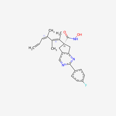 C=C/C=C(C)\C(C)=C(/C)[C@]1(C(=O)NO)Cc2cnc(-c3ccc(F)cc3)nc2C1